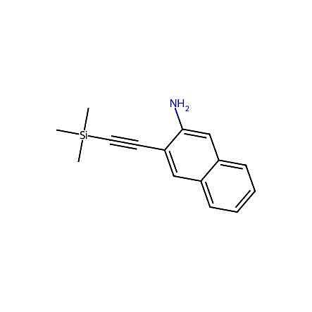 C[Si](C)(C)C#Cc1cc2ccccc2cc1N